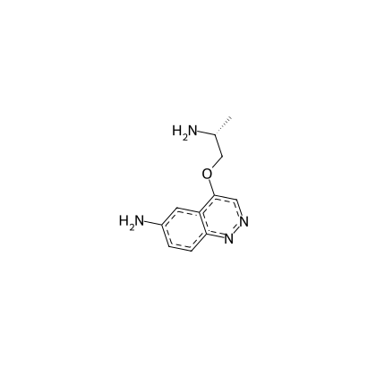 C[C@@H](N)COc1cnnc2ccc(N)cc12